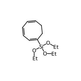 CCO[Si](OCC)(OCC)C1=CC=CC=CCC1